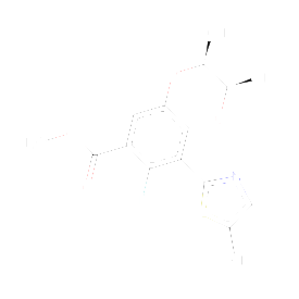 COC(=O)c1cc(O[C@@H](C)[C@@H](C)O)cc(-c2ncc(C)s2)c1F